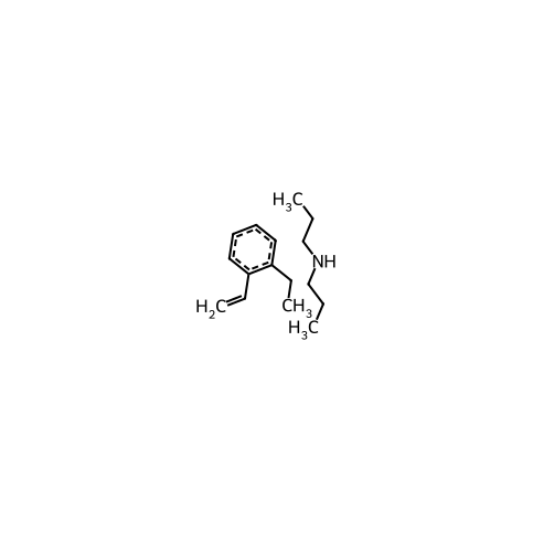 C=Cc1ccccc1CC.CCCNCCC